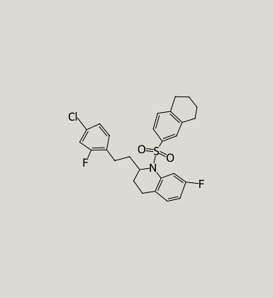 O=S(=O)(c1ccc2c(c1)CCCC2)N1c2cc(F)ccc2CCC1CCc1ccc(Cl)cc1F